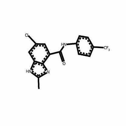 Cc1nc2c(C(=O)Nc3ccc(C(F)(F)F)cc3)cc(Cl)cc2[nH]1